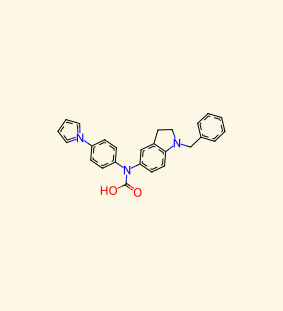 O=C(O)N(c1ccc(-n2cccc2)cc1)c1ccc2c(c1)CCN2Cc1ccccc1